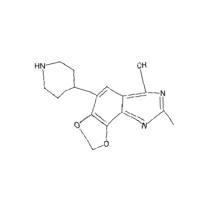 Cc1nc(O)c2cc(C3CCNCC3)c3c(c2n1)OCO3